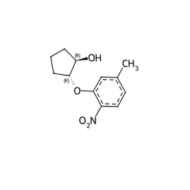 Cc1ccc([N+](=O)[O-])c(O[C@@H]2CCC[C@H]2O)c1